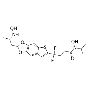 CC(CC1Oc2cc3cc(C(F)(F)CCC(=O)N(O)C(C)C)sc3cc2O1)NO